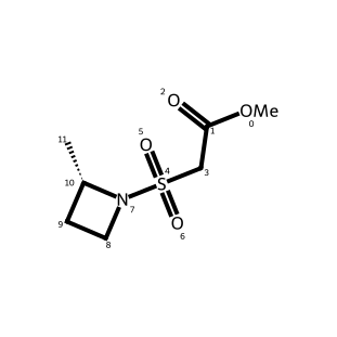 COC(=O)CS(=O)(=O)N1CC[C@@H]1C